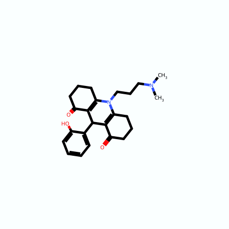 CN(C)CCCN1C2=C(C(=O)CCC2)C(c2ccccc2O)C2=C1CCCC2=O